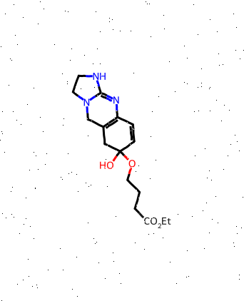 CCOC(=O)CCCOC1(O)C=CC2=C(CN3CCNC3=N2)C1